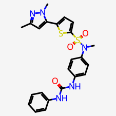 Cc1cc(-c2ccc(S(=O)(=O)N(C)c3ccc(NC(=O)Nc4ccccc4)cc3)s2)n(C)n1